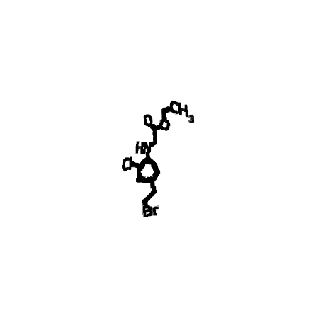 CCOC(=O)CNc1ccc(CCBr)cc1Cl